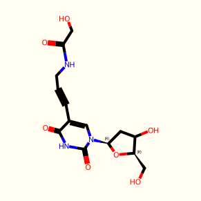 O=C(CO)NCC#Cc1cn([C@H]2CC(O)[C@@H](CO)O2)c(=O)[nH]c1=O